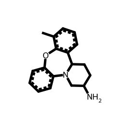 Cc1cccc2c1Oc1ccccc1N1CC(N)CCC21